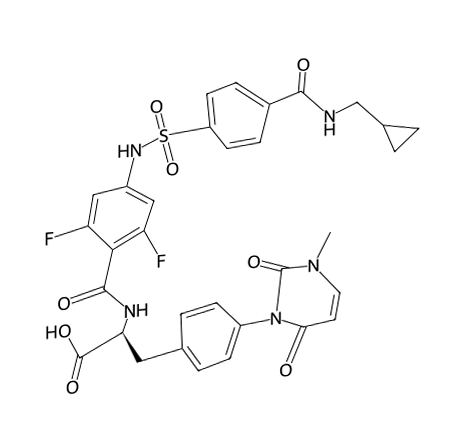 Cn1ccc(=O)n(-c2ccc(C[C@H](NC(=O)c3c(F)cc(NS(=O)(=O)c4ccc(C(=O)NCC5CC5)cc4)cc3F)C(=O)O)cc2)c1=O